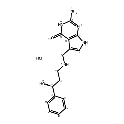 Cl.Nc1nc2[nH]cc(CNCC[C@H](O)c3ccccc3)c2c(=O)[nH]1